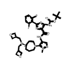 Cn1ncc(NC(=O)c2nc(-c3c(F)cccc3F)sc2NC(=O)OC(C)(C)C)c1N1CCC[C@@H](N(CC2COC2)CC2COC2)CC1